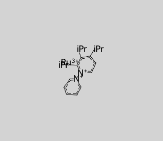 CC(C)c1cc[n+](-[n+]2ccccc2)c(C(C)C)c1C(C)C.[Ru+3]